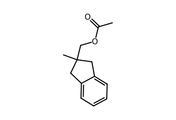 CC(=O)OCC1(C)Cc2ccccc2C1